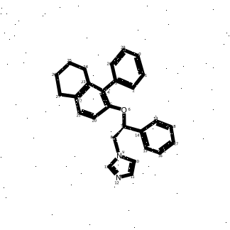 c1ccc(-c2c(O[C@H](Cn3ccnc3)c3ccccc3)ccc3c2CCCC3)cc1